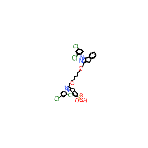 O=S(=O)(O)c1ccc2c(c1)Cc1c(COCCCCCCOCc3nn(-c4ccc(Cl)cc4Cl)c4c3Cc3ccccc3-4)nn(-c3ccc(Cl)cc3Cl)c1-2